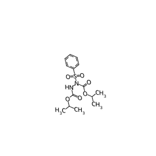 CC(C)OC(=O)NN(C(=O)OC(C)C)S(=O)(=O)c1ccccc1